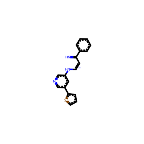 N=C(/C=C\Nc1cncc(-c2cccs2)c1)c1ccccc1